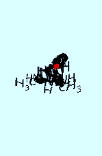 Cc1cc(Nc2nc(N[C@@H]3CC4CC[C@@H](C3)N4CCC#N)nc3[nH]c(C)cc23)n[nH]1